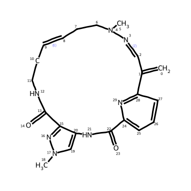 C=C1/C=N\N(C)CC/C=C/CCNC(=O)c2nn(C)cc2NC(=O)c2cccc1n2